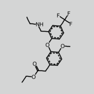 CCNCc1cc(C(F)(F)F)ccc1Oc1cc(CC(=O)OCC)ccc1OC